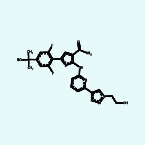 CC(C)(O)c1cc(F)c(-c2cc(C(N)=O)c(Nc3cccc(-c4cn(CCO)nn4)n3)s2)c(F)c1